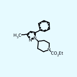 CCOC(=O)N1CCC(n2nc(C)cc2-c2ccccc2)CC1